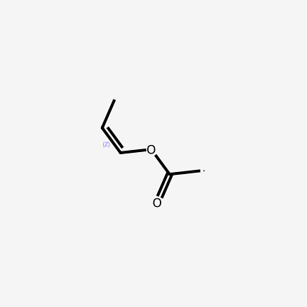 [CH2]C(=O)O/C=C\C